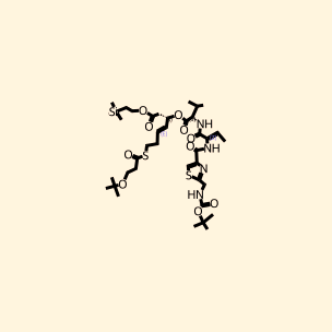 C/C=C(\NC(=O)c1csc(CNC(=O)OC(C)(C)C)n1)C(=O)N[C@H](C(=O)O[C@H](/C=C/CCSC(=O)CCOC(C)(C)C)CC(=O)OCC[Si](C)(C)C)C(C)C